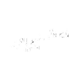 O=C(CCC/C=C1\C[C@H]2C[C@@H](O)[C@H](/C=C/[C@@H](O)C3CCCC3)[C@H]2C1)NCc1ccncc1